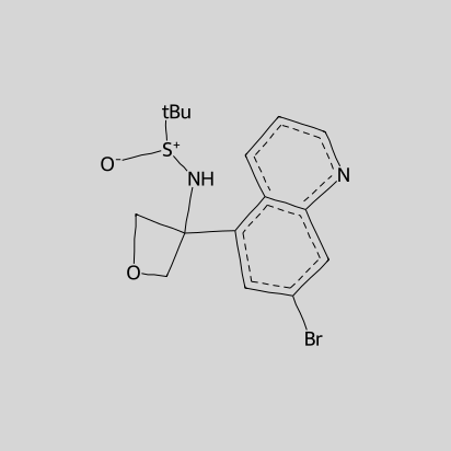 CC(C)(C)[S+]([O-])NC1(c2cc(Br)cc3ncccc23)COC1